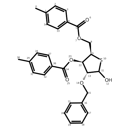 Cc1ccc(C(=O)OC[C@H]2SC(O)[C@H](OCc3ccccc3)[C@H]2OC(=O)c2ccc(C)cc2)cc1